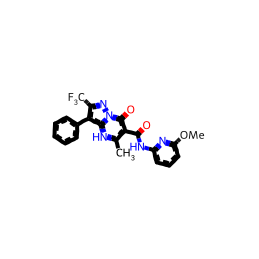 COc1cccc(NC(=O)c2c(C)[nH]c3c(-c4ccccc4)c(C(F)(F)F)nn3c2=O)n1